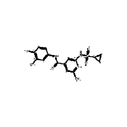 Cc1cc(C(=O)Nc2ccc(F)c(Cl)c2)cc(NS(=O)(=O)C2CC2)n1